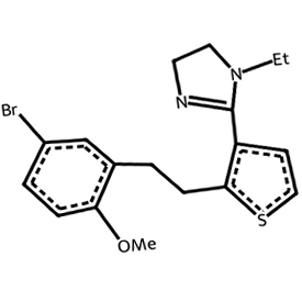 CCN1CCN=C1c1ccsc1CCc1cc(Br)ccc1OC